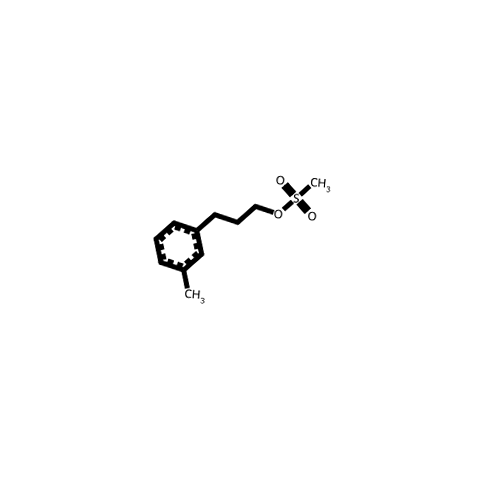 Cc1cccc(CCCOS(C)(=O)=O)c1